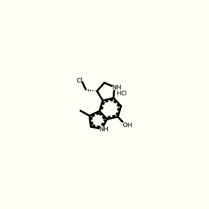 Cc1c[nH]c2c(O)cc3c(c12)[C@H](CCl)CN3.Cl